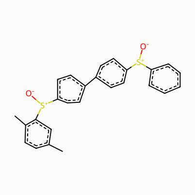 Cc1ccc(C)c([S+]([O-])c2ccc(-c3ccc([S+]([O-])c4ccccc4)cc3)cc2)c1